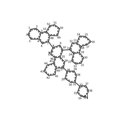 c1ccc2c(c1)cc(-c1cc(-c3cc4ccccc4c4ccccc34)c3cc(-c4ccc(-c5ccncc5)cc4)c4ccccc4c3n1)c1ccccc12